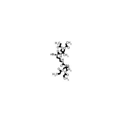 C=CC(=O)OCC(C)(COC(=O)C=C)NC(=O)NCCCN(CCCC)C(=O)NC(C)(COC(=O)C=C)COC(=O)C=C